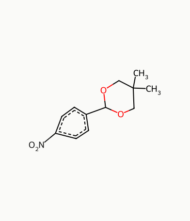 CC1(C)COC(c2ccc([N+](=O)[O-])cc2)OC1